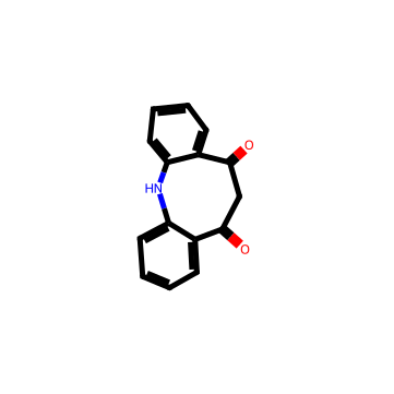 O=C1CC(=O)c2ccccc2Nc2ccccc21